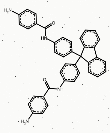 Nc1ccc(C(=O)Nc2ccc(C3(c4ccc(NC(=O)c5ccc(N)cc5)cc4)c4ccccc4-c4ccccc43)cc2)cc1